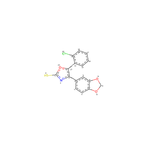 Sc1nc(-c2ccc3c(c2)OCO3)c(-c2ccccc2Cl)o1